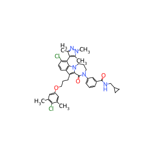 Cc1cc(OCCCc2c3n(c4c(-c5c(C)nn(C)c5C)c(Cl)ccc24)CCCN(c2cccc(C(=O)NCC4CC4)c2)C3=O)cc(C)c1Cl